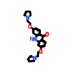 O=c1c2ccc(OCCN3CCCC3)cc2[nH]c2cc(OCCN3CCCC3)ccc12